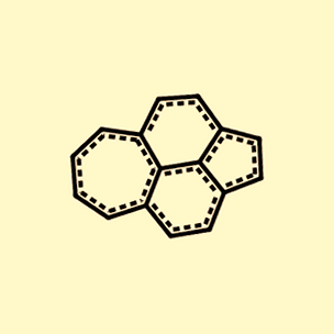 c1ccc2ccc3ccc4ccc(c1)c2c43